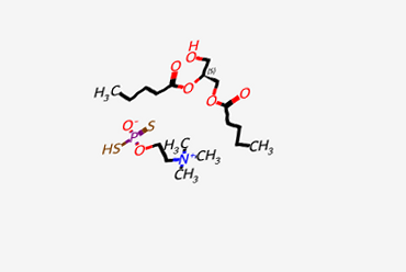 CCCCC(=O)OC[C@H](CO)OC(=O)CCCC.C[N+](C)(C)CCOP([O-])(=S)S